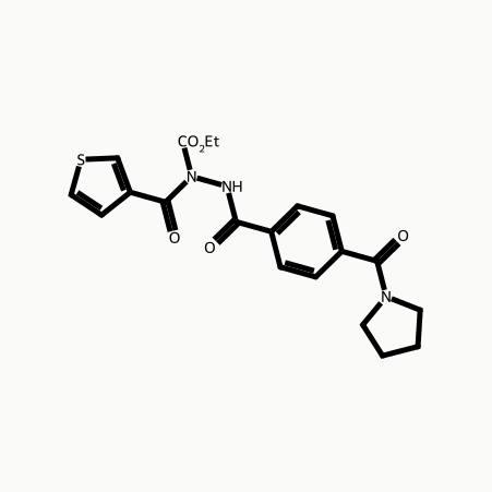 CCOC(=O)N(NC(=O)c1ccc(C(=O)N2CCCC2)cc1)C(=O)c1ccsc1